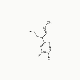 CSCC(C=NO)c1ccc(Cl)c(F)c1